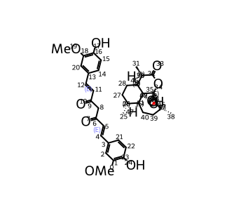 COc1cc(/C=C/C(=O)CC(=O)/C=C/c2ccc(O)c(OC)c2)ccc1O.C[C@@H]1CC[C@H]2[C@@H](C)C(=O)O[C@@H]3O[C@]4(C)CC[C@@H]1[C@]32OO4